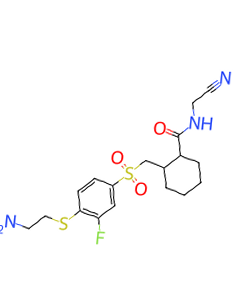 N#CCNC(=O)C1CCCCC1CS(=O)(=O)c1ccc(SCCN)c(F)c1